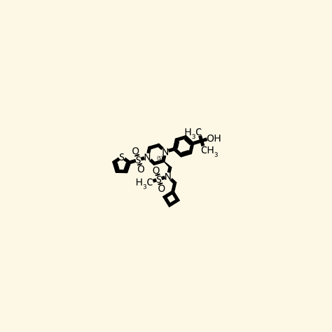 CC(C)(O)c1ccc(N2CCN(S(=O)(=O)c3cccs3)C[C@@H]2CN(CC2CCC2)S(C)(=O)=O)cc1